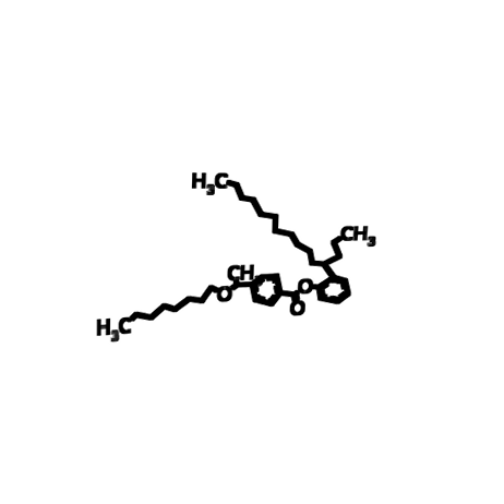 CCCCCCCCCCCC(CCC)c1ccccc1OC(=O)c1ccc(C(C)OCCCCCCCC)cc1